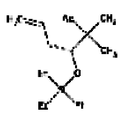 C=CC[C@@H](O[Si](CC)(CC)CC)C(C)(C)C(C)=O